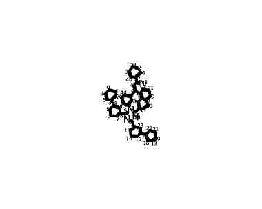 c1ccc(-c2cccc(-c3nc(-c4cccc(-c5ccccc5)c4)nc(-c4ccc5ccc6nc(-c7ccccc7)cc(-c7ccccc7)c6c5c4)n3)c2)cc1